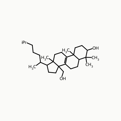 CC(C)CCCC(C)C1CCC2(CO)C3=C(CCC12C)C1(C)CCC(O)C(C)(C)C1CC3